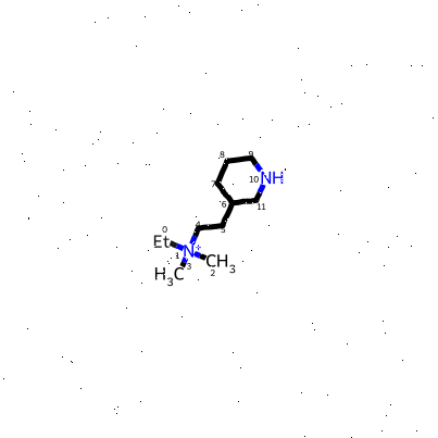 CC[N+](C)(C)CCC1CCCNC1